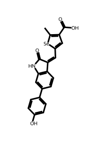 Cc1[se]c(C=C2C(=O)Nc3cc(-c4ccc(O)cc4)ccc32)cc1C(=O)O